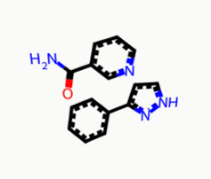 NC(=O)c1cccnc1.c1ccc(-c2cc[nH]n2)cc1